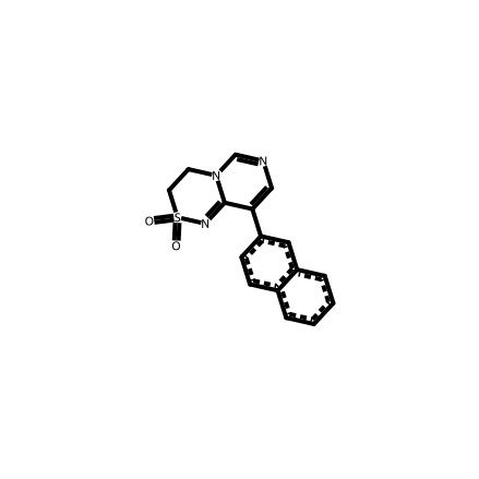 O=S1(=O)CCN2C=NC=C(c3ccc4ccccc4c3)C2=N1